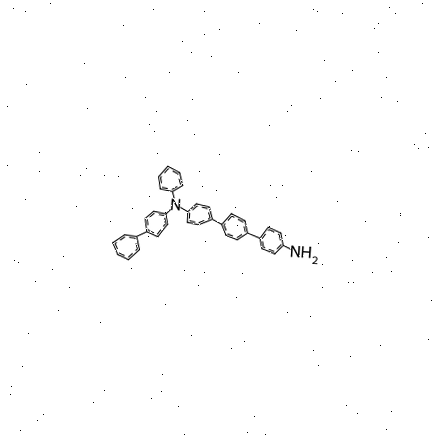 Nc1ccc(-c2ccc(-c3ccc(N(c4ccccc4)c4ccc(-c5ccccc5)cc4)cc3)cc2)cc1